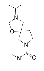 CC(C)N1COC2(CCN(C(=O)N(C)C)C2)C1